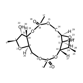 C[C@@H]1O[C@@H]2COP(C)(=O)O[C@@H]3[C@H](O)[C@@H](COP(C)(=O)O[C@H]2[C@H]1O)O[C@H]3C